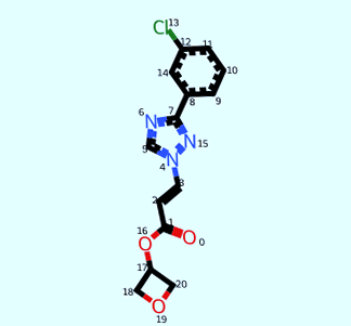 O=C(C=Cn1cnc(-c2cccc(Cl)c2)n1)OC1COC1